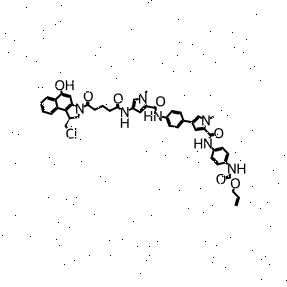 C=CCOC(=O)Nc1ccc(NC(=O)c2cc(-c3ccc(NC(=O)c4cc(NC(=O)CCCC(=O)N5C[C@@H](CCl)c6c5cc(O)c5ccccc65)cn4C)cc3)cn2C)cc1